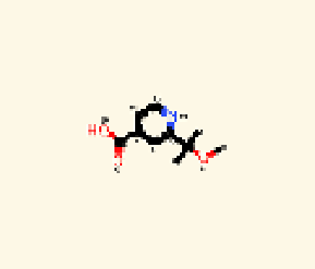 COC(C)(C)c1cc(C(=O)O)ccn1